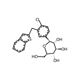 OC[C@H]1O[C@@H](c2ccc(Cl)c(Cc3cc4ccccc4s3)c2)[C@H](O)[C@@H](O)[C@@H]1O